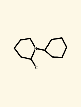 ClC1CCCCN1C1[CH]CCCC1